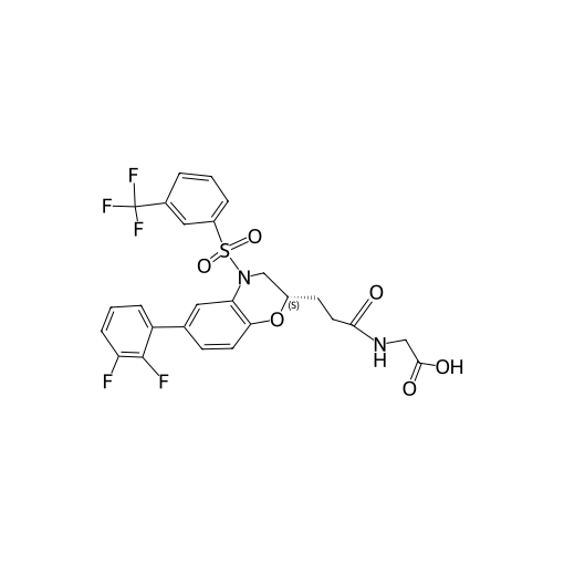 O=C(O)CNC(=O)CC[C@H]1CN(S(=O)(=O)c2cccc(C(F)(F)F)c2)c2cc(-c3cccc(F)c3F)ccc2O1